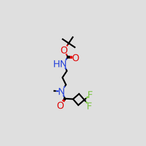 CN(CCCNC(=O)OC(C)(C)C)C(=O)C1CC(F)(F)C1